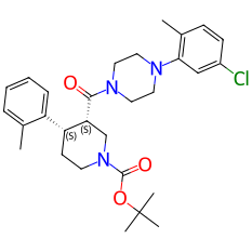 Cc1ccccc1[C@H]1CCN(C(=O)OC(C)(C)C)C[C@H]1C(=O)N1CCN(c2cc(Cl)ccc2C)CC1